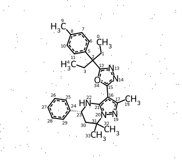 CCC(CC)(c1ccc(C)cc1)c1nnc(-c2c(C)nn3c2N[C@@H](c2ccccc2)CC3(C)C)o1